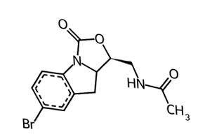 CC(=O)NC[C@@H]1OC(=O)N2c3ccc(Br)cc3CC12